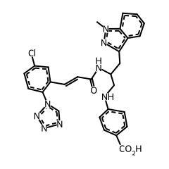 Cn1nc(CC(CNc2ccc(C(=O)O)cc2)NC(=O)/C=C/c2cc(Cl)ccc2-n2cnnn2)c2ccccc21